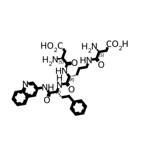 N[C@@H](CC(=O)O)C(=O)NCCC[C@@H](NC(=O)[C@@H](N)CC(=O)O)C(=O)N[C@H](CCc1ccccc1)C(=O)Nc1cnc2ccccc2c1